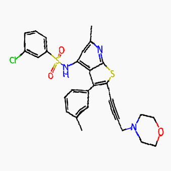 Cc1cccc(-c2c(C#CCN3CCOCC3)sc3nc(C)cc(NS(=O)(=O)c4cccc(Cl)c4)c23)c1